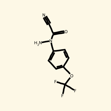 N#CC(=O)N(N)c1ccc(OC(F)(F)F)cc1